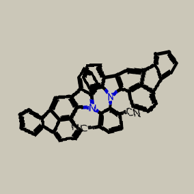 N#Cc1ccc(C#N)c(-n2c3ccccc3c3cc4c5c(cccc5c32)-c2ccccc2-4)c1-n1c2ccccc2c2cc3c4c(cccc4c21)-c1ccccc1-3